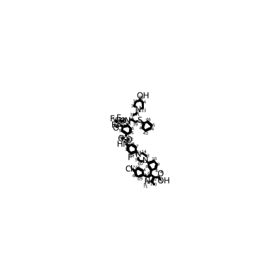 Cc1c(C(=O)O)c(-c2cccc(N3CCN(c4ccc(NS(=O)(=O)c5ccc(N[C@H](CCN6CCC(O)CC6)CSc6ccccc6)c(S(=O)(=O)C(F)(F)F)c5)cc4F)CC3)c2)c(-c2ccc(Cl)cc2)n1C